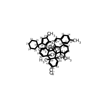 CC1=CC=CC2[CH](/[Zr+2](=[CH]\c3ccc(C)cc3)[C]3=CC(C4(C)CCCCC4)=CC3C)C3(C)C4(C)C=CC=CC4(C)C4(C)C=CC=CC4(C)C3(C)C12C.[Cl-].[Cl-]